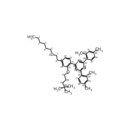 CCCCCCOCCc1ccc(-c2nc(-c3ccc(C)cc3C)nc(-c3ccc(C)cc3C)n2)c(OCCCC(C)(C)C)c1